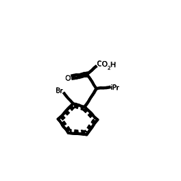 CC(C)C(C(=O)C(=O)O)c1ccccc1Br